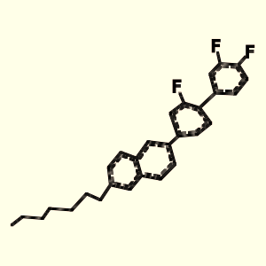 CCCCCCCc1ccc2cc(-c3ccc(-c4ccc(F)c(F)c4)c(F)c3)ccc2c1